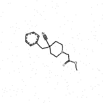 COC(=O)CN1CCC(C#N)(Cc2ccccc2)CC1